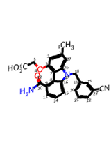 Cc1cc(OCC(=O)O)c2c3c(C(N)=O)cccc3n(Cc3cccc(C#N)c3)c2c1